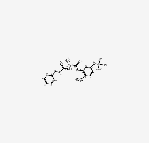 CC(C)[Si](Oc1ccc(C(=O)O)c(NC(=O)[C@@H](C)NC(=O)OCc2ccccc2)c1)(C(C)C)C(C)C